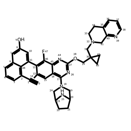 C#Cc1cccc2cc(O)cc(-c3c(C)cc4c(N5CC6CCC(C5)N6)nc(OCC5(CN6CCc7cccnc7C6)CC5)nc4c3F)c12